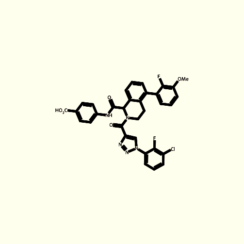 COc1cccc(-c2cccc3c2CCN(C(=O)c2cn(-c4cccc(Cl)c4F)nn2)C3C(=O)Nc2ccc(C(=O)O)cc2)c1F